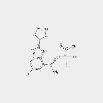 NC(=O)c1cc(F)cc2cn(C3CCNC3)nc12.O=C(O)C(F)(F)F